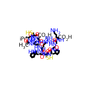 CC(C)C[C@H](NC(=O)[C@H](C)N)C(=O)N[C@@H](CS)C(=O)N[C@@H](CC(=O)O)C(=O)N1CCC[C@H]1C(=O)N[C@@H](CCCNC(=N)N)C(=O)N[C@@H](Cc1c[nH]c2ccccc12)C(=O)N[C@@H](CS)C(=O)N[C@@H](Cc1ccccc1)C(=O)NCC(=O)NCC(=O)N[C@@H](CCCCN)C(=O)O